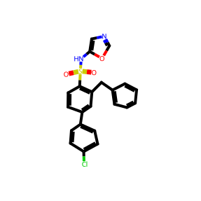 O=S(=O)(Nc1cnco1)c1ccc(-c2ccc(Cl)cc2)cc1Cc1ccccc1